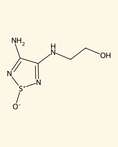 Nc1n[s+]([O-])nc1NCCO